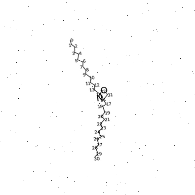 CCCCCCCCCCCCCCC1=NC(CCCCCCCCCCCCCC)CO1